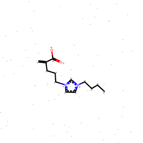 C=C(CCC[n+]1ccn(CCCC)c1)C(=O)[O-]